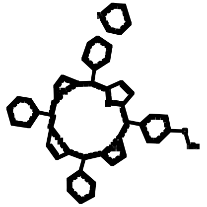 CCCCOc1ccc(-c2c3nc(c(-c4ccccc4)c4ccc([nH]4)c(-c4ccccc4)c4nc(c(-c5ccccc5)c5ccc2[nH]5)C=C4)C=C3)cc1.c1ccncc1